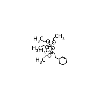 CCO[Si](C)(CCC1C=CCCC1)O[Si](OCC)(OCC)OCC